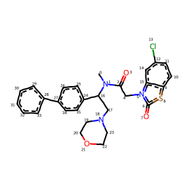 CN(C(=O)Cn1c(=O)sc2ccc(Cl)cc21)C(CN1CCOCC1)c1ccc(-c2ccccc2)cc1